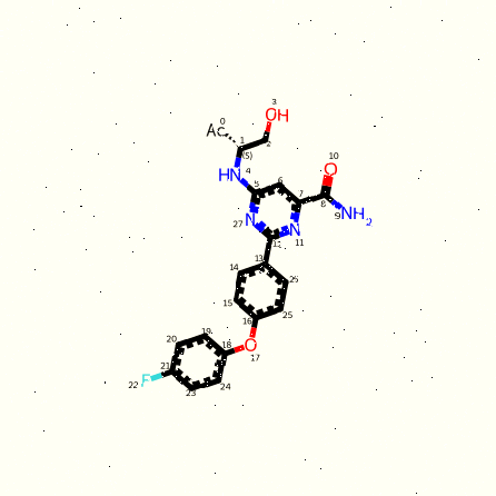 CC(=O)[C@H](CO)Nc1cc(C(N)=O)nc(-c2ccc(Oc3ccc(F)cc3)cc2)n1